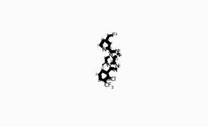 C[C@H]1Cn2c(-c3cc(CF)ccn3)nnc2-c2nnc(-c3cccc(C(F)(F)F)c3Cl)n21